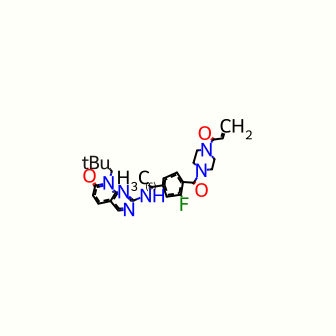 C=CC(=O)N1CCN(C(=O)c2ccc([C@H](C)Nc3ncc4ccc(=O)n(CC(C)(C)C)c4n3)cc2F)CC1